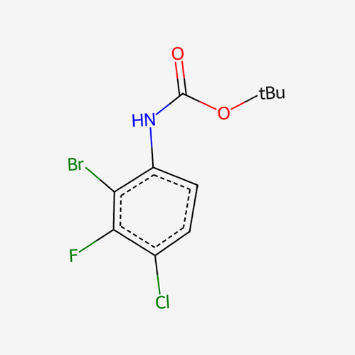 CC(C)(C)OC(=O)Nc1ccc(Cl)c(F)c1Br